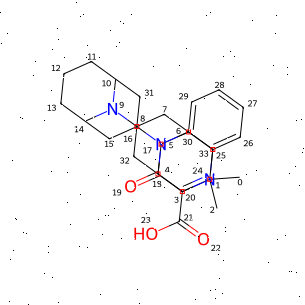 CC1(C)CC2CC(CC(N3C4CCCC3CC(n3c(=O)c(C(=O)O)nc5ccccc53)C4)C2)C1